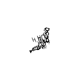 Cn1cc(-c2cc(F)cc(N3CCc4c(sc5c4CCCC5)C3=O)c2CO)cc(Nc2cc3n(n2)CCN(C2CC2)C3)c1=O